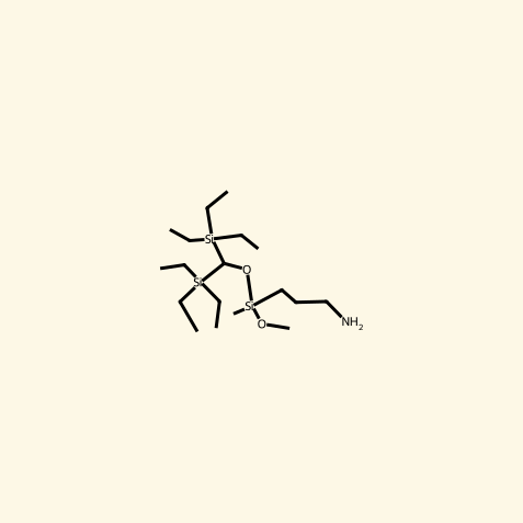 CC[Si](CC)(CC)C(O[Si](C)(CCCN)OC)[Si](CC)(CC)CC